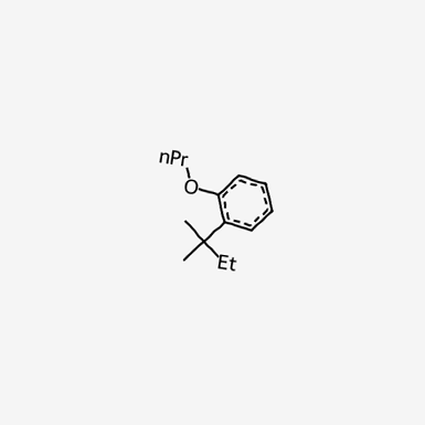 CCCOc1ccccc1C(C)(C)CC